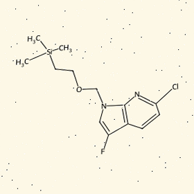 C[Si](C)(C)CCOCn1cc(F)c2ccc(Cl)nc21